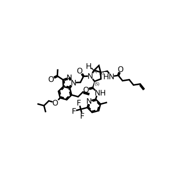 C=CCCCC(=O)NC[C@@]12C[C@@H](C(=O)Nc3nc(C(F)(F)F)ccc3C)N(C(=O)Cn3nc(C(C)=O)c4cc(OCC(C)C)cc(CC=C)c43)[C@@H]1C2